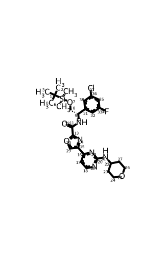 CC(C)(C)[Si](C)(C)OC[C@@H](NC(=O)c1nc(-c2ccnc(NC3CCOCC3)n2)co1)c1cc(F)cc(Cl)c1